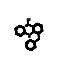 O=C(O)c1cccc(Cc2ccccc2)c1Nc1ccccc1